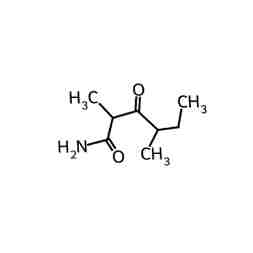 CCC(C)C(=O)C(C)C(N)=O